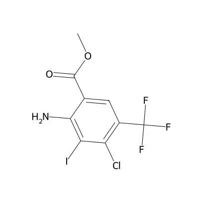 COC(=O)c1cc(C(F)(F)F)c(Cl)c(I)c1N